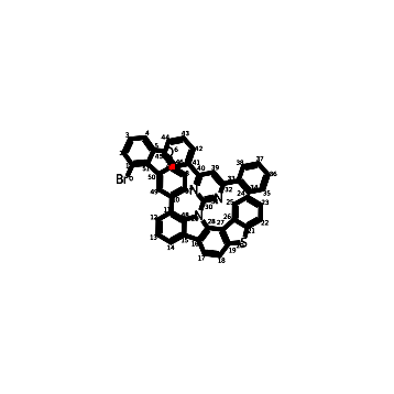 Brc1cccc2oc3ccc(-c4cccc5c6ccc7sc8ccccc8c7c6n(-c6nc(-c7ccccc7)cc(-c7ccccc7)n6)c45)cc3c12